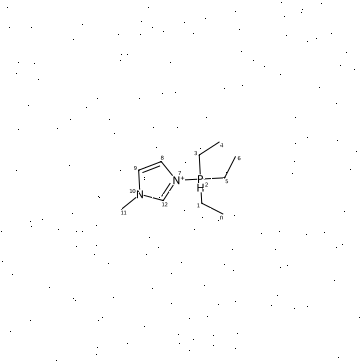 CC[PH](CC)(CC)[n+]1ccn(C)c1